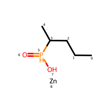 CCCC(C)[PH](=O)O.[Zn]